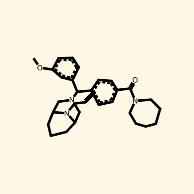 C=CCN1C2CCCC1CN(C(c1ccc(C(=O)N3CCCCCC3)cc1)c1cccc(OC)c1)C2